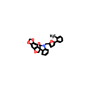 Cc1ccccc1-c1ccc(CN2C(=O)C3(COc4cc5c(cc43)OCO5)c3ccccc32)o1